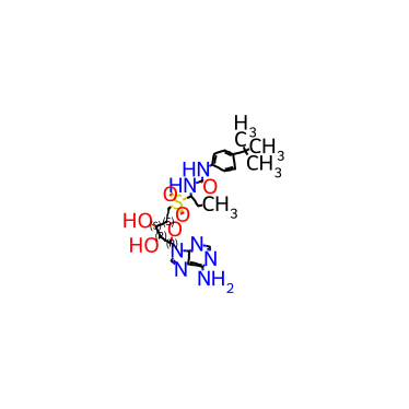 CCC(NC(=O)Nc1ccc(C(C)(C)C)cc1)S(=O)(=O)C[C@H]1O[C@@H](n2cnc3c(N)ncnc32)[C@H](O)[C@@H]1O